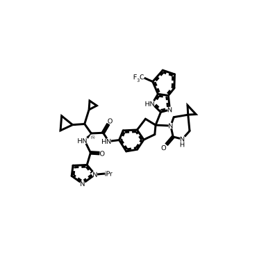 CC(C)n1nccc1C(=O)N[C@H](C(=O)Nc1ccc2c(c1)CC(c1nc3cccc(C(F)(F)F)c3[nH]1)(N1CC3(CC3)CNC1=O)C2)C(C1CC1)C1CC1